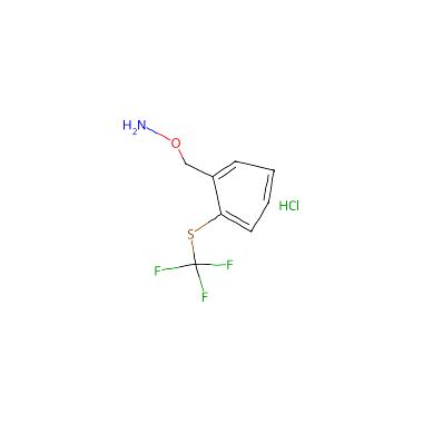 Cl.NOCc1ccccc1SC(F)(F)F